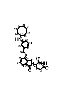 O=C1CCC(N2Cc3c(SCc4cccc(NC5CCCCCCC5)c4)cccc3C2=O)C(=O)N1